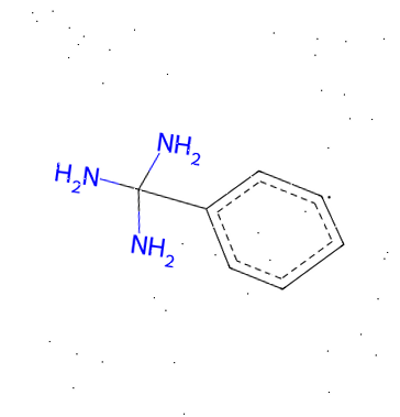 NC(N)(N)c1c[c]ccc1